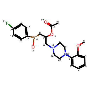 COc1ccccc1N1CCN(CC(C[S+]([O-])c2ccc(F)cc2)OC(C)=O)CC1